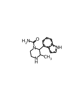 CC1NCCN(C(N)=O)C1c1cccc2[nH]ccc12